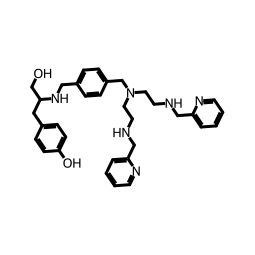 OCC(Cc1ccc(O)cc1)NCc1ccc(CN(CCNCc2ccccn2)CCNCc2ccccn2)cc1